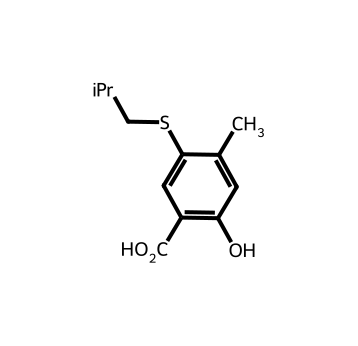 Cc1cc(O)c(C(=O)O)cc1SCC(C)C